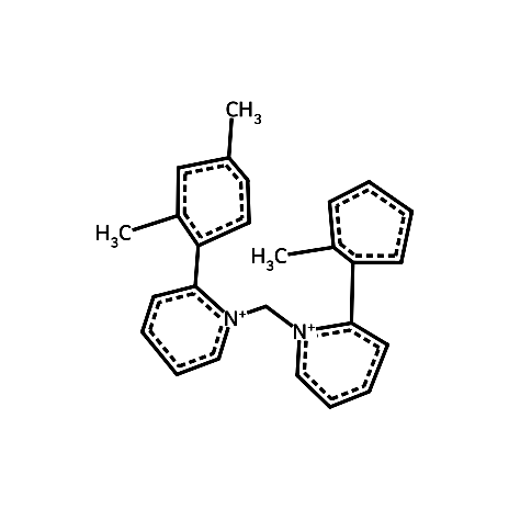 Cc1ccc(-c2cccc[n+]2C[n+]2ccccc2-c2ccccc2C)c(C)c1